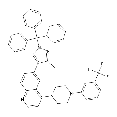 Cc1nn(C(c2ccccc2)(c2ccccc2)C2C=CC=CC2)cc1-c1ccc2nccc(N3CCN(c4cccc(C(F)(F)F)c4)CC3)c2c1